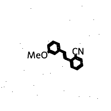 COc1cccc(C=Cc2ccccc2C#N)c1